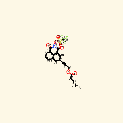 CCCC(=O)OCC#Cc1cc2c3c(cccc3c1)C(=O)N(OS(=O)(=O)C(F)(F)F)C2=O